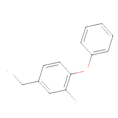 Fc1cc(CBr)ccc1Oc1ccccc1